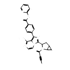 CC#CC(=O)N1C(c2nc(-c3ccc(C(=O)Nc4ccccn4)cc3)c3c(N)nccn23)CC2CC21